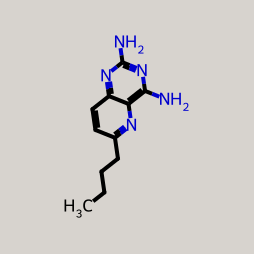 CCCCc1ccc2nc(N)nc(N)c2n1